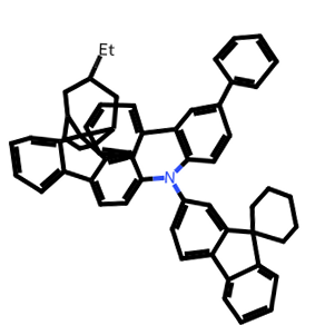 CCC1CC2CCCC(C1)C21c2ccccc2-c2ccc(N(c3ccc4c(c3)C3(CCCCC3)c3ccccc3-4)c3ccc(-c4ccccc4)cc3-c3ccccc3)cc21